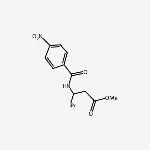 COC(=O)CC(NC(=O)c1ccc([N+](=O)[O-])cc1)C(C)C